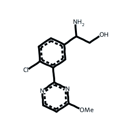 COc1ccnc(-c2cc(C(N)CO)ccc2Cl)n1